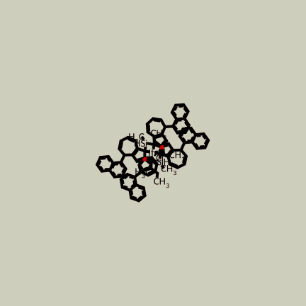 CCC1=CC2=C(C=CC=CC2c2cccc3ccccc23)[C]12[SiH](C)[C]1(C(CC)=CC3=C1C=CC=CC3c1cccc3ccccc13)[Hf]21([Cl])([Cl])[C]2(C(CC)=CC3=C2C=CC=CC3c2cccc3ccccc23)[SiH](C)[C]12C(CC)=CC1=C2C=CC=CC1c1cccc2ccccc12